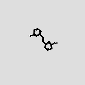 Oc1cccc(C=Cc2cccc(Cl)c2)c1